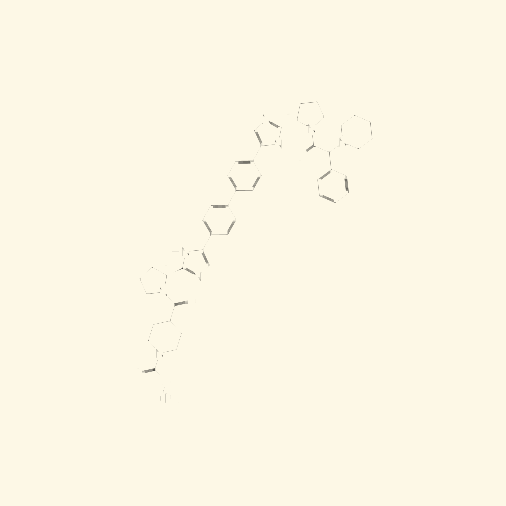 CC(C)(C)OC(=O)N1CCC(C(=O)N2CCC[C@H]2c2ncc(-c3ccc(-c4ccc(-c5cnc([C@@H]6CCCN6C(=O)C(c6ccccc6)N6CCCCC6)[nH]5)cc4)cc3)[nH]2)CC1